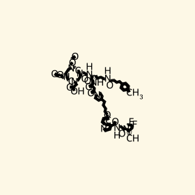 C#C[C@H]1CC(F)(F)CN1C(=O)CNC(=O)c1ccnc2ccc(OCCCCC3CCN(C(=O)CC(=O)NC(=O)[C@H](CCCCNC(=O)CCCc4ccc(C)cc4)NC(=O)CN4CCN(COC=O)CCN(COC=O)CCN(CC(=O)O)CC4)CC3)cc12